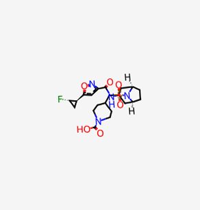 O=C(NC1C[C@H]2CC[C@@H](C1)N2S(=O)(=O)CC1CCN(C(=O)O)CC1)c1cc([C@H]2C[C@@H]2F)on1